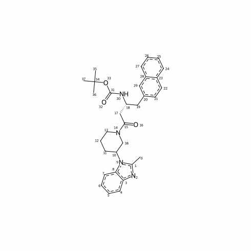 Cc1nc2ccccc2n1C1CCCN(C(=O)C[C@@H](Cc2ccc3ccccc3c2)NC(=O)OC(C)(C)C)C1